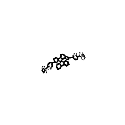 c1ccc2c(c1)-c1ccccc1C21c2cc(-c3ccc(C4=NCCO4)nc3)ccc2-c2ccc3cc(-c4ccc(C5=NCCO5)nc4)ccc3c21